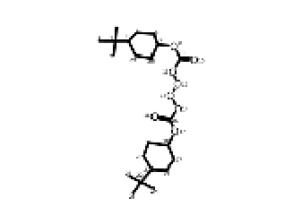 CC(C)(C)C1CCC(OC(=O)OOOOC(=O)OC2CCC(C(C)(C)C)CC2)CC1